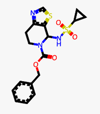 O=C(OCc1ccccc1)N1CCc2ncsc2C1NS(=O)(=O)C1CC1